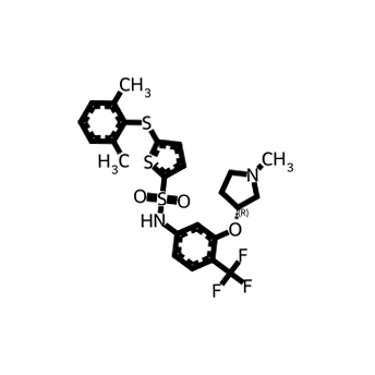 Cc1cccc(C)c1Sc1ccc(S(=O)(=O)Nc2ccc(C(F)(F)F)c(O[C@@H]3CCN(C)C3)c2)s1